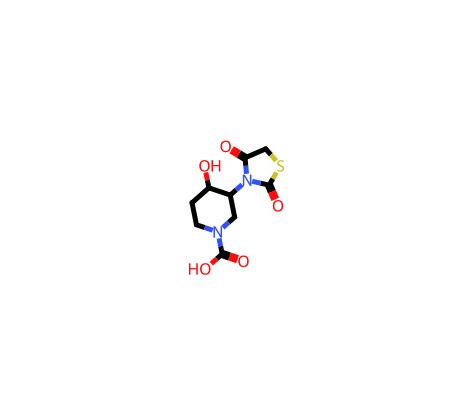 O=C(O)N1CCC(O)C(N2C(=O)CSC2=O)C1